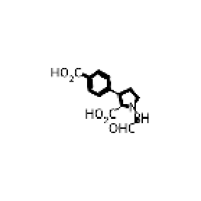 O=CBN1CC[C@H](c2ccc(C(=O)O)cc2)[C@H]1C(=O)O